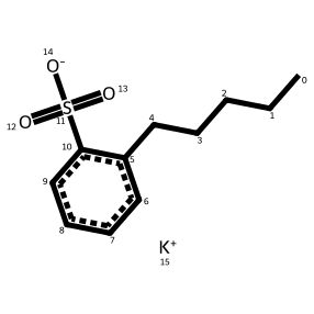 CCCCCc1ccccc1S(=O)(=O)[O-].[K+]